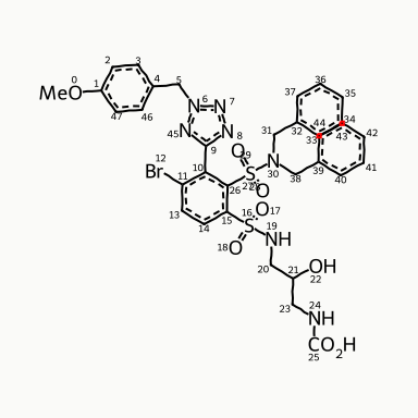 COc1ccc(Cn2nnc(-c3c(Br)ccc(S(=O)(=O)NCC(O)CNC(=O)O)c3S(=O)(=O)N(Cc3ccccc3)Cc3ccccc3)n2)cc1